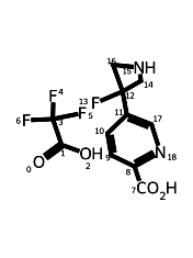 O=C(O)C(F)(F)F.O=C(O)c1ccc(C2(F)CNC2)cn1